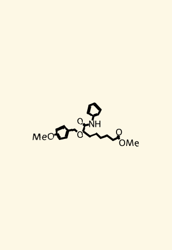 COC(=O)CCCCCC(OCc1ccc(OC)cc1)C(=O)Nc1ccccc1